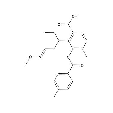 CCC(CC=NOC)c1c(C(=O)O)ccc(C)c1OC(=O)c1ccc(C)cc1